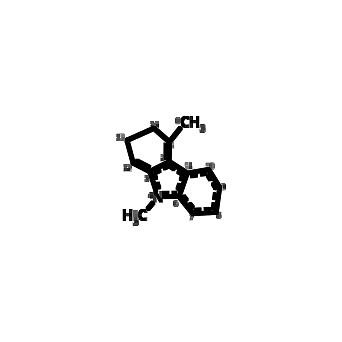 CC1=c2c(n(C)c3ccccc23)=CCC1